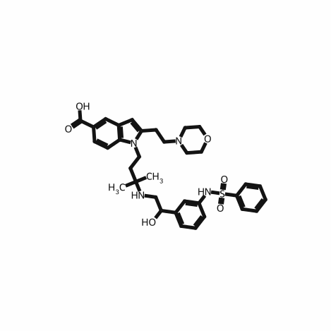 CC(C)(CCn1c(CCN2CCOCC2)cc2cc(C(=O)O)ccc21)NCC(O)c1cccc(NS(=O)(=O)c2ccccc2)c1